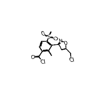 Cc1c(C(=O)Cl)ccc(S(C)(=O)=O)c1C1=NOC(CCl)C1